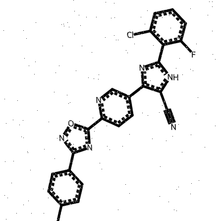 Cc1ccc(-c2noc(-c3ccc(-c4nc(-c5c(F)cccc5Cl)[nH]c4C#N)cn3)n2)cc1